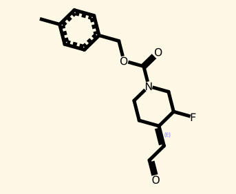 Cc1ccc(COC(=O)N2CC/C(=C\C=O)C(F)C2)cc1